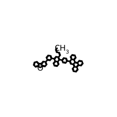 C/C=C\C=C/c1cc(-c2cccc(-c3ccc4oc5ccccc5c4c3)c2)c2ccccc2c1-c1ccc(-c2cc3c4ccccc4c4ccccc4c3c3ccccc23)cc1